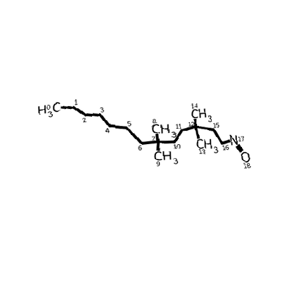 CCCCCCCC(C)(C)CCC(C)(C)CCN=O